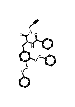 C#CCOC(=O)C(Cc1ccc(OOc2ccccc2)c(OOc2ccccc2)c1)NC(=O)c1ccccc1